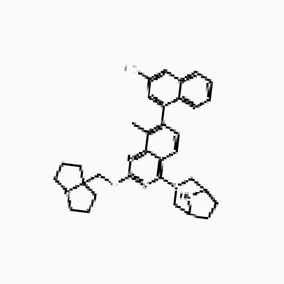 Cc1c(-c2cc(O)cc3ccccc23)ccc2c(N3CC4CCC(C3)N4)nc(OCC34CCCN3CCC4)nc12